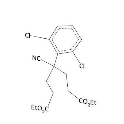 CCOC(=O)CCC(C#N)(CCC(=O)OCC)c1c(Cl)cccc1Cl